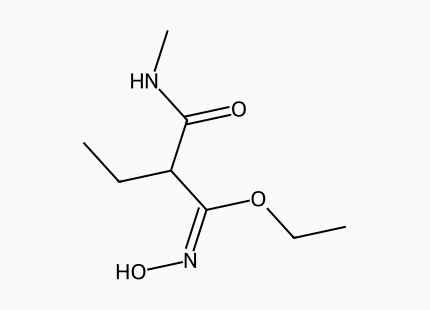 CCOC(=NO)C(CC)C(=O)NC